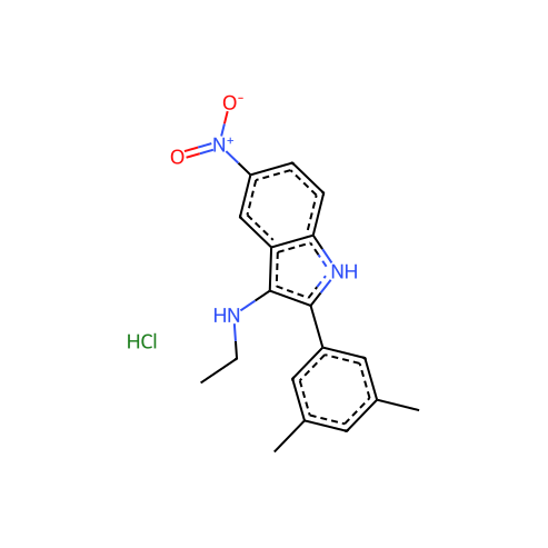 CCNc1c(-c2cc(C)cc(C)c2)[nH]c2ccc([N+](=O)[O-])cc12.Cl